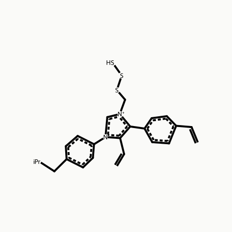 C=Cc1ccc(-c2c(C=C)n(-c3ccc(CC(C)C)cc3)c[n+]2CSSS)cc1